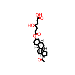 CC(=O)[C@H]1CC[C@H]2[C@@H]3CC[C@H]4C[C@H](OC(=O)CCC(O)CCC(=O)O)CC[C@]4(C)[C@H]3CC[C@]12C